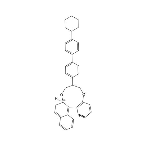 C1=c2ccccc2=C2c3c(ccc4ccccc34)OCC(c3ccc(-c4ccc(C5CCCCC5)cc4)cc3)CO[C@@H]2C1